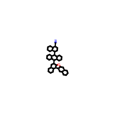 N#Cc1ccc(-c2c3ccccc3c(-c3cc4ccccc4c4c3oc3cc5ccccc5cc34)c3ccccc23)c2ccccc12